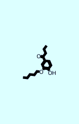 CCCCCOc1cc(C(=O)CCC)ccc1O